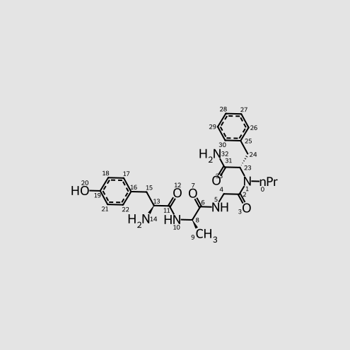 CCCN(C(=O)CNC(=O)[C@@H](C)NC(=O)[C@@H](N)Cc1ccc(O)cc1)[C@@H](Cc1ccccc1)C(N)=O